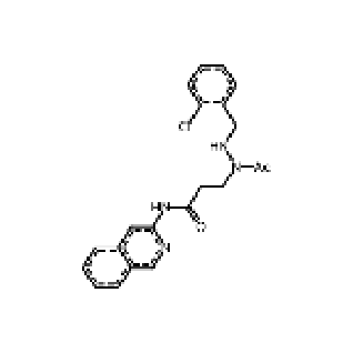 CC(=O)N(CCC(=O)Nc1cc2ccccc2cn1)NCc1ccccc1Cl